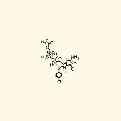 B[PH]1(OCOC(C)=O)OCC2OC(N3c4nc(N)[nH]c(=O)c4NC3Sc3ccc(Cl)cc3)C(O)[C@@H]2O1